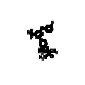 CC(C)(CC1(O)CCN(c2nc(Oc3cccc(F)c3)cc(C(F)(F)F)n2)CC1)C(N)=O